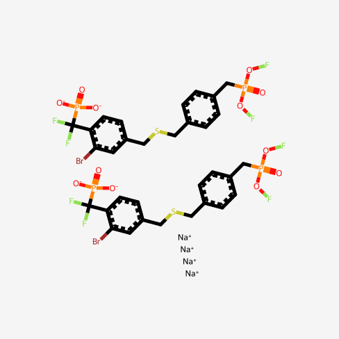 O=P(Cc1ccc(CSCc2ccc(C(F)(F)P(=O)([O-])[O-])c(Br)c2)cc1)(OF)OF.O=P(Cc1ccc(CSCc2ccc(C(F)(F)P(=O)([O-])[O-])c(Br)c2)cc1)(OF)OF.[Na+].[Na+].[Na+].[Na+]